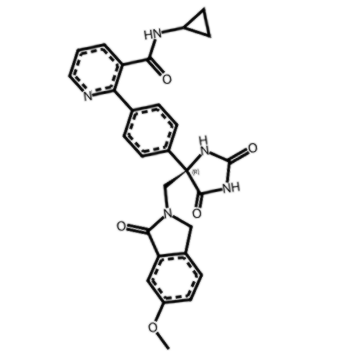 COc1ccc2c(c1)C(=O)N(C[C@@]1(c3ccc(-c4ncccc4C(=O)NC4CC4)cc3)NC(=O)NC1=O)C2